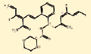 C=C/C(F)=C(\C=C\c1cccnc1[C@H](CC(=C)/C=C(F)\C=C\F)NC(=O)[C@H]1COCCN1)C(N)=O